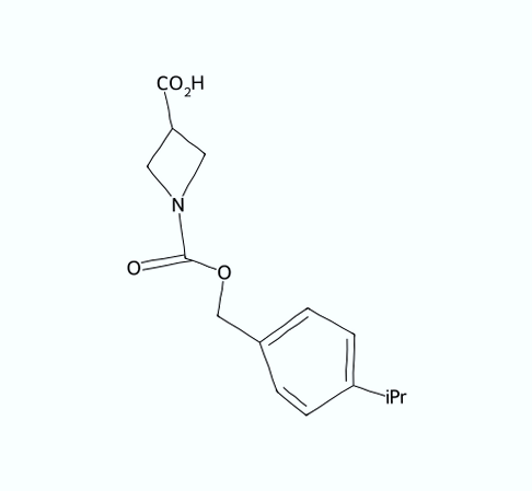 CC(C)c1ccc(COC(=O)N2CC(C(=O)O)C2)cc1